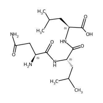 CC(C)C[C@H](NC(=O)[C@H](CC(C)C)NC(=O)[C@@H](N)CC(N)=O)C(=O)O